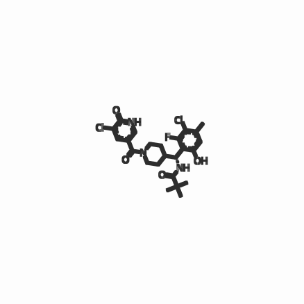 Cc1cc(O)c([C@H](NC(=O)C(C)(C)C)C2CCN(C(=O)c3c[nH]c(=O)c(Cl)c3)CC2)c(F)c1Cl